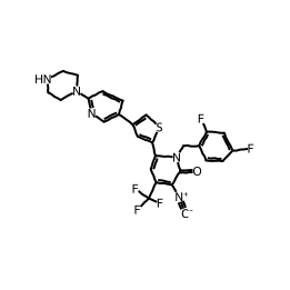 [C-]#[N+]c1c(C(F)(F)F)cc(-c2cc(-c3ccc(N4CCNCC4)nc3)cs2)n(Cc2ccc(F)cc2F)c1=O